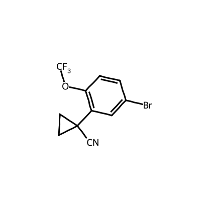 N#CC1(c2cc(Br)ccc2OC(F)(F)F)CC1